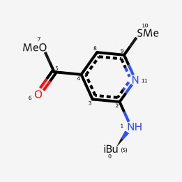 CC[C@H](C)Nc1cc(C(=O)OC)cc(SC)n1